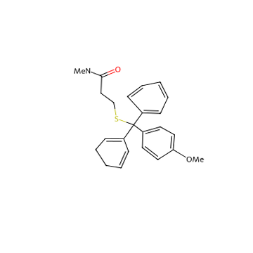 CNC(=O)CCSC(C1=CCCC=C1)(c1ccccc1)c1ccc(OC)cc1